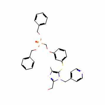 CC(C)c1nc(CO)n(Cc2ccncc2)c1Sc1cccc(OCP(=O)(OCc2ccccc2)OCc2ccccc2)c1